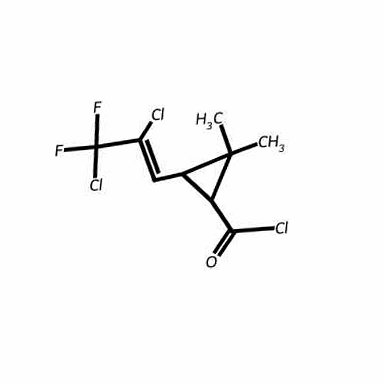 CC1(C)C(C=C(Cl)C(F)(F)Cl)C1C(=O)Cl